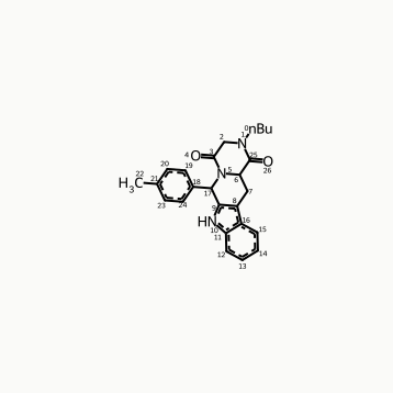 CCCCN1CC(=O)N2C(Cc3c([nH]c4ccccc34)C2c2ccc(C)cc2)C1=O